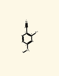 [CH2]Oc1ccc(C#N)c(F)c1